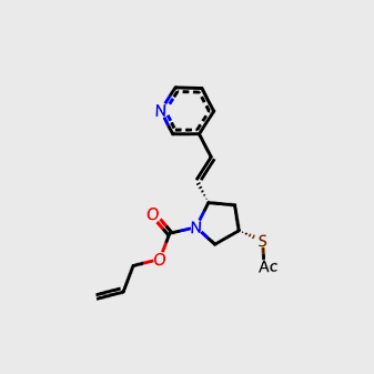 C=CCOC(=O)N1C[C@@H](SC(C)=O)C[C@H]1/C=C/c1cccnc1